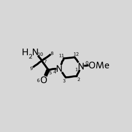 CON1CCN(C(=O)C(C)(C)N)CC1